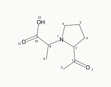 CC(=O)C1CCCN1C(C)C(=O)O